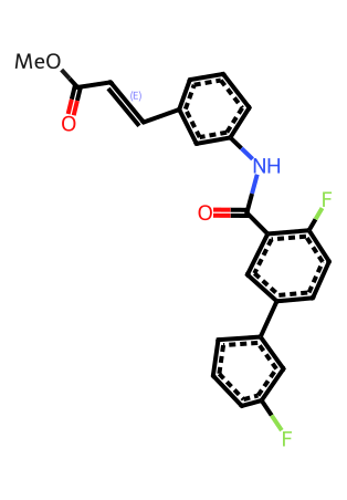 COC(=O)/C=C/c1cccc(NC(=O)c2cc(-c3cccc(F)c3)ccc2F)c1